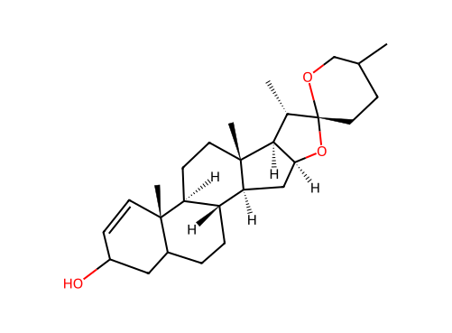 CC1CC[C@@]2(OC1)O[C@H]1C[C@H]3[C@@H]4CCC5CC(O)C=C[C@]5(C)[C@H]4CC[C@]3(C)[C@H]1[C@@H]2C